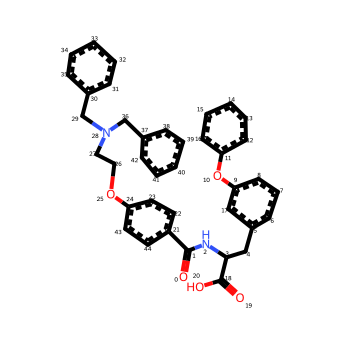 O=C(NC(Cc1cccc(Oc2ccccc2)c1)C(=O)O)c1ccc(OCCN(Cc2ccccc2)Cc2ccccc2)cc1